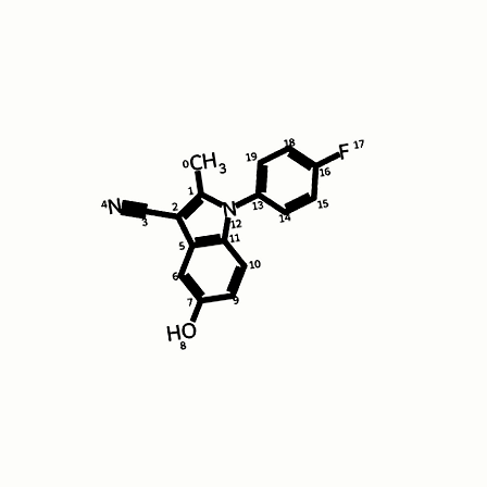 Cc1c(C#N)c2cc(O)ccc2n1-c1ccc(F)cc1